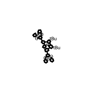 CC(C)(C)c1cc(-c2cccc(-c3cc4c5c(c3)Oc3ccccc3B5c3ccccc3O4)c2)c2c(c1)c1cc(C(C)(C)C)cc(-c3cccc(-c4cc5c6c(c4)Oc4ccccc4B6c4ccccc4O5)c3)c1n2-c1ccccc1